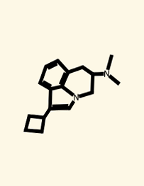 CN(C)C1Cc2cccc3c(C4CCC4)cn(c23)C1